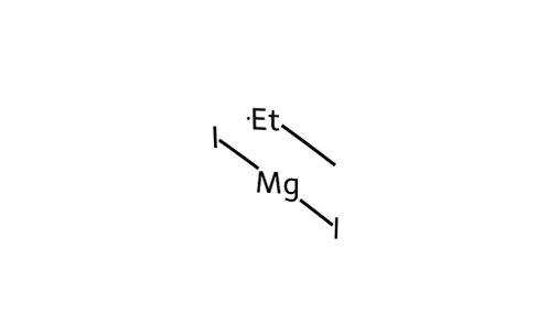 C[CH]C.[I][Mg][I]